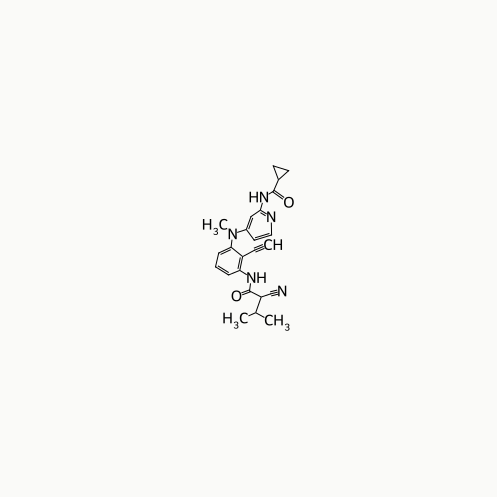 C#Cc1c(NC(=O)C(C#N)C(C)C)cccc1N(C)c1ccnc(NC(=O)C2CC2)c1